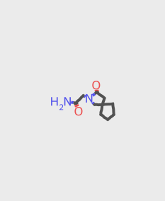 NC(=O)CN1CC2(CCCC2)CC1=O